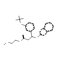 COCCNC(=O)CC(Nc1nc2ccccc2[nH]1)c1cccc(SC(F)(F)F)c1